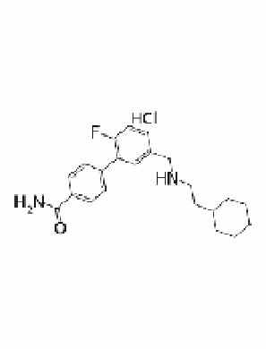 Cl.NC(=O)c1ccc(-c2cc(CNCCC3CCCCC3)ccc2F)cc1